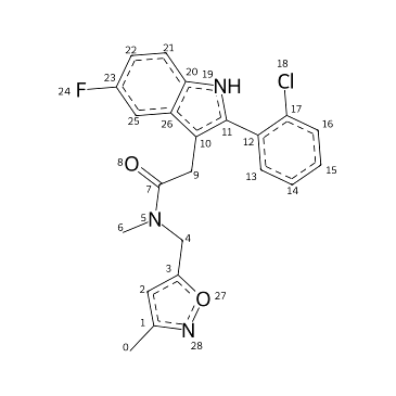 Cc1cc(CN(C)C(=O)Cc2c(-c3ccccc3Cl)[nH]c3ccc(F)cc23)on1